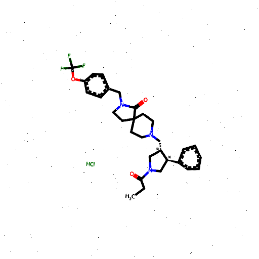 CCC(=O)N1C[C@H](CN2CCC3(CC2)CCN(Cc2ccc(OC(F)(F)F)cc2)C3=O)[C@@H](c2ccccc2)C1.Cl